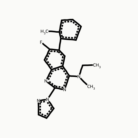 CCN(C)c1nc(-n2cccn2)nc2cc(F)c(-c3ccccc3C)cc12